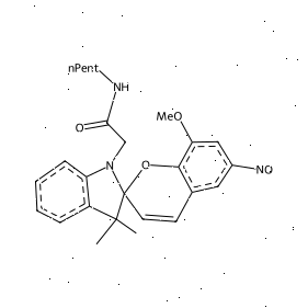 CCCCCNC(=O)CN1c2ccccc2C(C)(C)C12C=Cc1cc(N=O)cc(OC)c1O2